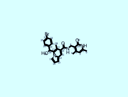 Cc1cc(C)c(CNC(=O)c2cc3cccn3c(C(O)c3ccc(Br)cc3)c2C)c(=O)[nH]1